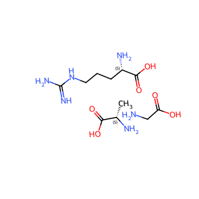 C[C@H](N)C(=O)O.N=C(N)NCCC[C@H](N)C(=O)O.NCC(=O)O